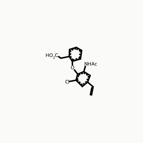 C=Cc1cc(Cl)c(Oc2ccccc2CC(=O)O)c(NC(C)=O)c1